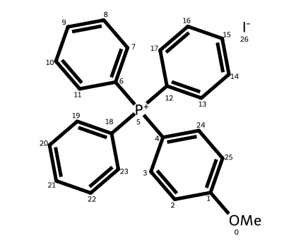 COc1ccc([P+](c2ccccc2)(c2ccccc2)c2ccccc2)cc1.[I-]